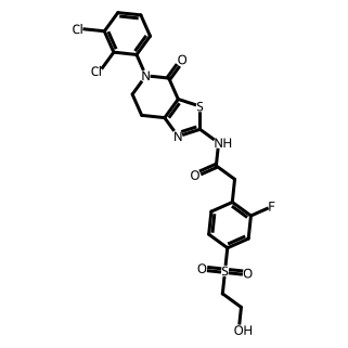 O=C(Cc1ccc(S(=O)(=O)CCO)cc1F)Nc1nc2c(s1)C(=O)N(c1cccc(Cl)c1Cl)CC2